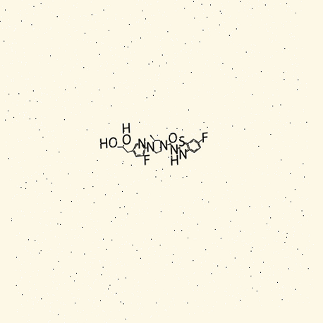 C[C@H]1CN(C(=O)Nc2nc3ccc(F)cc3s2)CCN1c1ncc(C[C@H](O)CO)cc1F